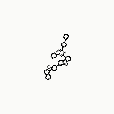 c1ccc(C2=NC(c3cccc4oc5cc(-c6ccc7c(c6)oc6ccc8ccccc8c67)ccc5c34)=NC(c3ccc(-c4ccccc4)cc3)N2)cc1